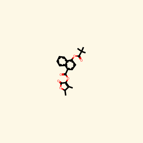 CC1=C(OC(=O)c2ccc(OC(=O)C(C)(C)C)c3ccccc23)C(=O)OC1C